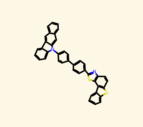 c1ccc2cc3c(cc2c1)c1ccccc1n3-c1ccc(-c2ccc(-c3nc4ccc5sc6ccccc6c5c4s3)cc2)cc1